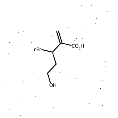 C=C(C(=O)O)C(CCC)CCO